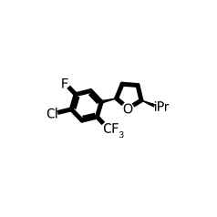 CC(C)[C@@H]1CC[C@H](c2cc(F)c(Cl)cc2C(F)(F)F)O1